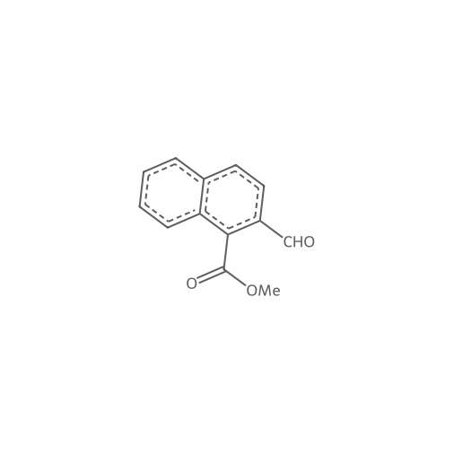 COC(=O)c1c(C=O)ccc2ccccc12